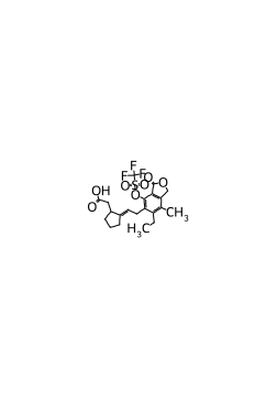 CCc1c(C)c2c(c(OS(=O)(=O)C(F)(F)F)c1C/C=C1\CCCC1CC(=O)O)C(=O)OC2